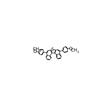 COc1ccc(-c2cc3sc4cc(-c5ccc(OC)cc5)c5ccccc5c4c3c3ccccc23)cc1